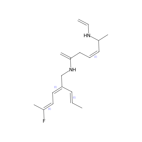 C=CNC(C)/C=C\CC(=C)NCC(/C=C/C)=C/C=C(\C)F